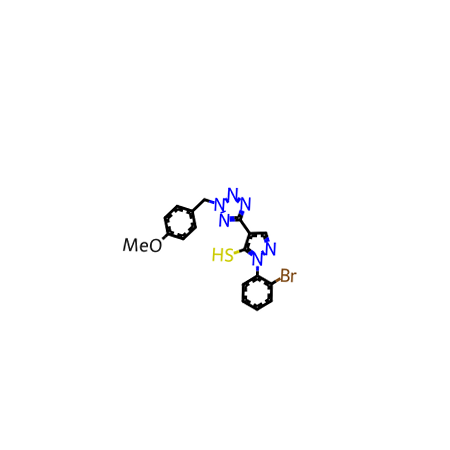 COc1ccc(Cn2nnc(-c3cnn(-c4ccccc4Br)c3S)n2)cc1